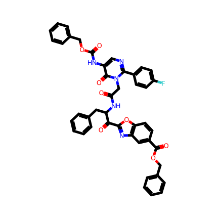 O=C(Cn1c(-c2ccc(F)cc2)ncc(NC(=O)OCc2ccccc2)c1=O)NC(Cc1ccccc1)C(=O)c1nc2cc(C(=O)OCc3ccccc3)ccc2o1